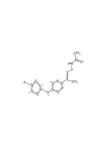 CC(=O)NCC=C(C)c1ccc(Oc2ccc(F)cc2)cc1